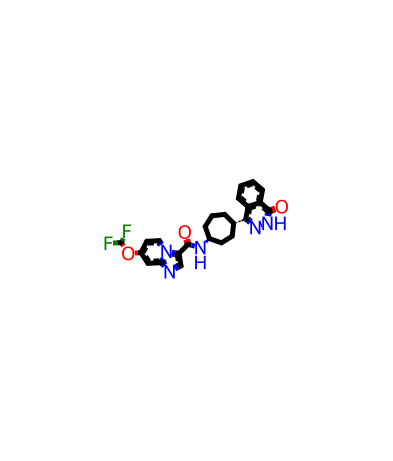 O=C(N[C@H]1CCC[C@H](c2n[nH]c(=O)c3ccccc23)CC1)c1cnc2cc(OC(F)F)ccn12